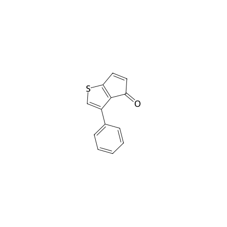 O=C1C=Cc2scc(-c3ccccc3)c21